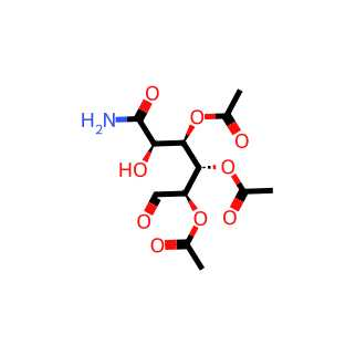 CC(=O)O[C@@H]([C@H](OC(C)=O)[C@@H](O)C(N)=O)[C@H](C=O)OC(C)=O